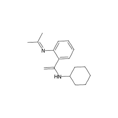 C=C(NC1CCCCC1)c1ccccc1N=C(C)C